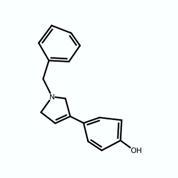 Oc1ccc(C2=CCN(Cc3ccccc3)C2)cc1